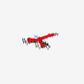 CCCOCCOCCC(=O)NCCCOCCOCCOCCCNC(=O)[C@@H](CCCCNC(C)c1ccc(/C=C(\C)c2ccc3c(c2)C(C)(C)CCC3(C)C)cc1)NC(=O)c1ccc(/C=C(\C)c2ccc3c(c2)C(C)(C)CCC3(C)C)cc1